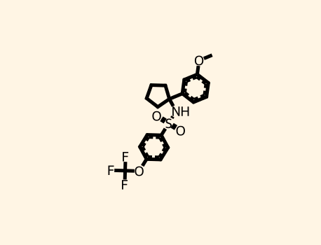 COc1cccc(C2(NS(=O)(=O)c3ccc(OC(F)(F)F)cc3)CCCC2)c1